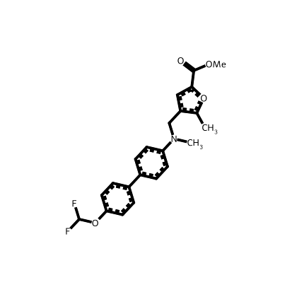 COC(=O)c1cc(CN(C)c2ccc(-c3ccc(OC(F)F)cc3)cc2)c(C)o1